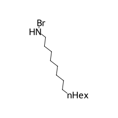 CCCCCCCCCCCCCCNBr